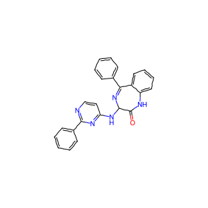 O=C1Nc2ccccc2C(c2ccccc2)=NC1Nc1ccnc(-c2ccccc2)n1